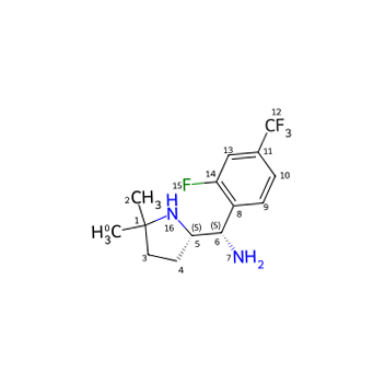 CC1(C)CC[C@@H]([C@@H](N)c2ccc(C(F)(F)F)cc2F)N1